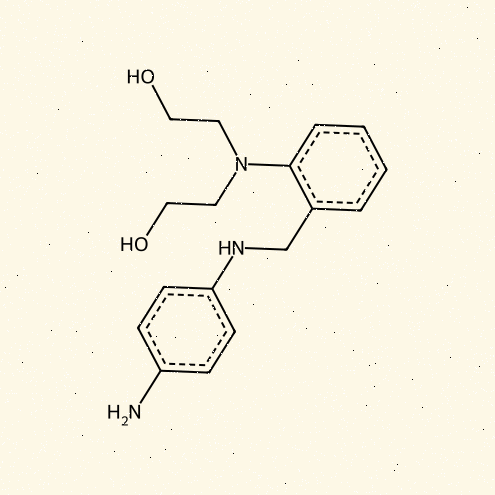 Nc1ccc(NCc2ccccc2N(CCO)CCO)cc1